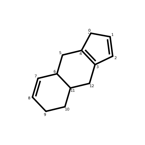 [CH]1C=CC2=C1CC1C=CCCC1C2